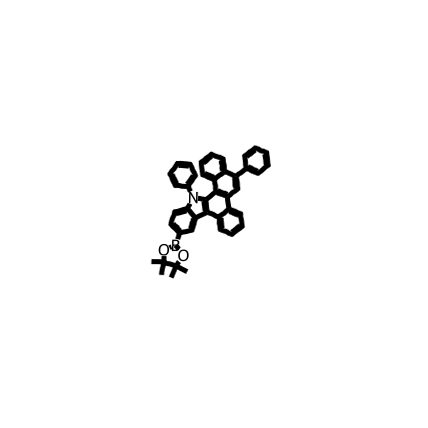 CC1(C)OB(c2ccc3c(c2)c2c4ccccc4c4cc(-c5ccccc5)c5ccccc5c4c2n3-c2ccccc2)OC1(C)C